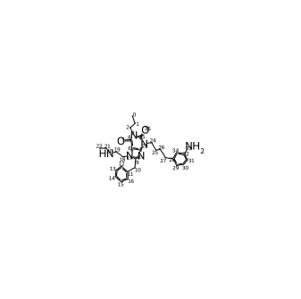 CCCn1c(=O)c2c(nc(Cc3ccccc3)n2CCNCC)n(CCCCc2cccc(N)c2)c1=O